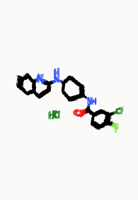 Cl.O=C(N[C@H]1CC[C@@H](Nc2ccc3c(n2)CCCC3)CC1)c1ccc(F)c(Cl)c1